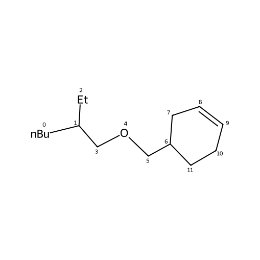 CCCCC(CC)COCC1CC=CCC1